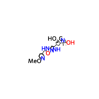 COc1ccc(CC(=O)Nc2cc(C3CCC([C@]4(C)N(C(=O)O)C[C@@]4(C)O)C3)[nH]n2)cn1